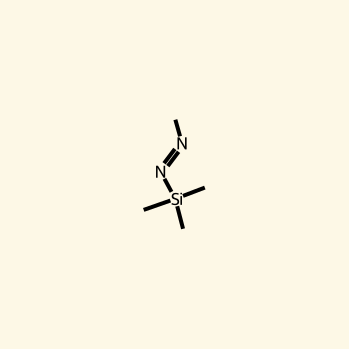 CN=N[Si](C)(C)C